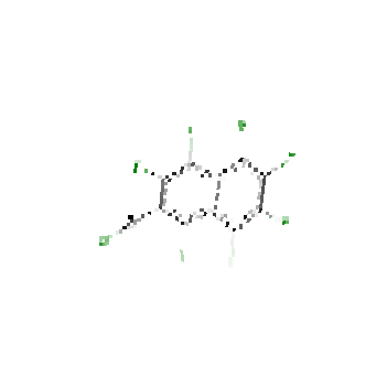 Fc1c(F)c(F)c2c(F)[c]([Zn][Br])c(F)c(F)c2c1F